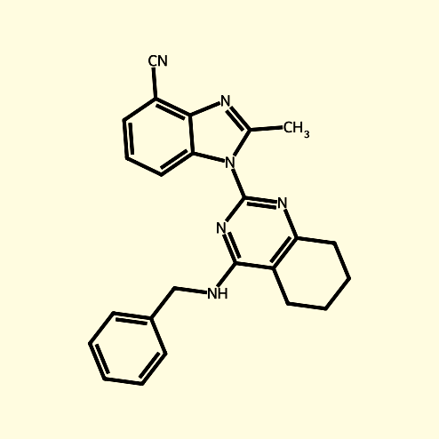 Cc1nc2c(C#N)cccc2n1-c1nc2c(c(NCc3ccccc3)n1)CCCC2